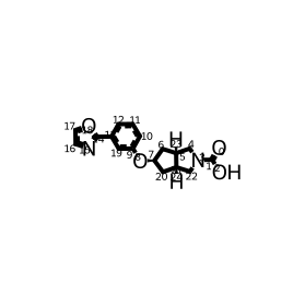 O=C(O)N1C[C@H]2C[C@H](Oc3cccc(-c4ncco4)c3)C[C@H]2C1